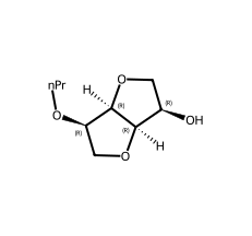 CCCO[C@@H]1CO[C@H]2[C@@H]1OC[C@H]2O